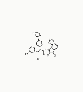 COc1cccc2c1N(CC(=O)N(Cc1cccc(Cl)c1)c1ccc(-c3c[nH]cn3)cc1)C(=O)C2=O.Cl